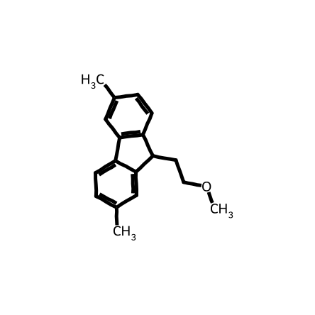 COCCC1c2ccc(C)cc2-c2ccc(C)cc21